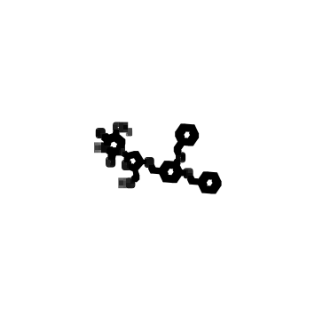 Cc1cn([C@H]2C[C@H](OCc3ccc(OCc4ccccc4)c(OCc4ccccc4)c3)[C@@H](CO)O2)c(=O)[nH]c1=O